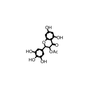 CC(=O)OC1C(=O)c2c(O)cc(O)cc2OC1c1cc(O)c(O)c(O)c1